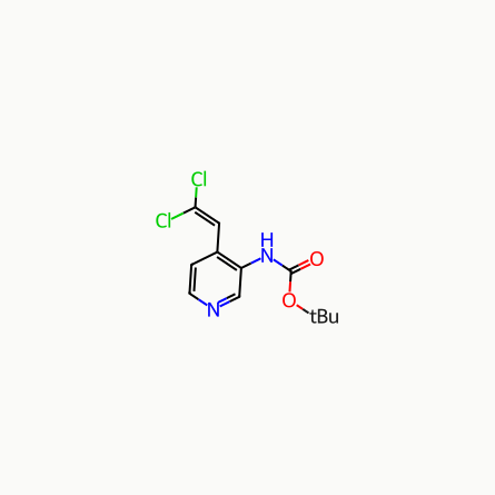 CC(C)(C)OC(=O)Nc1cnccc1C=C(Cl)Cl